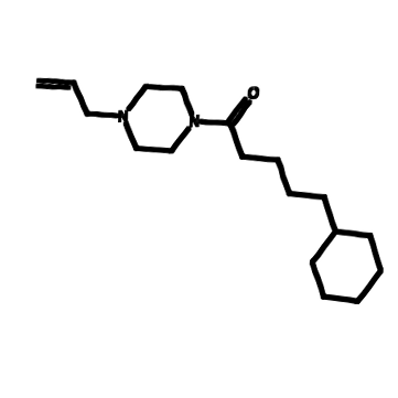 C=CCN1CCN(C(=O)CCCCC2CCCCC2)CC1